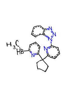 CBc1cccc(C2(c3cccc(-n4nnc5ccccc54)n3)CCCC2)n1